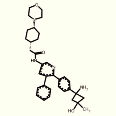 CC1(O)CC(N)(c2ccc(-c3ncc(NC(=O)C[C@H]4CC[C@H](N5CCOCC5)CC4)cc3-c3ccccc3)cc2)C1